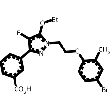 CCOc1c(F)c(-c2cccc(C(=O)O)c2)nn1CCOc1ccc(Br)cc1C